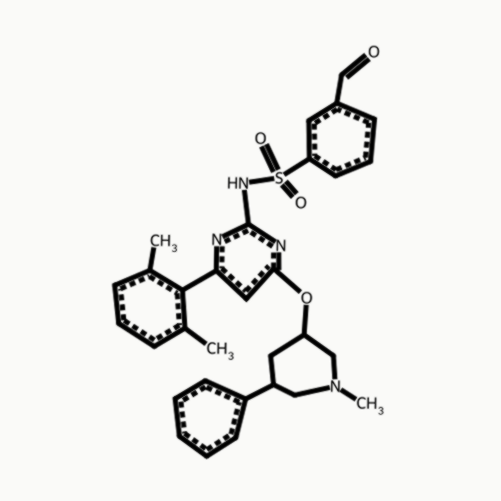 Cc1cccc(C)c1-c1cc(OC2CC(c3ccccc3)CN(C)C2)nc(NS(=O)(=O)c2cccc(C=O)c2)n1